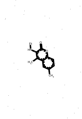 CCNc1c(C)c2cc(C)ccc2oc1=O